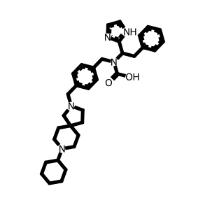 O=C(O)N(Cc1ccc(CN2CCC3(CCN(C4CCCCC4)CC3)C2)cc1)C(Cc1ccccc1)c1ncc[nH]1